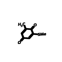 CSC1=CC(=O)C=C(C)C1=O